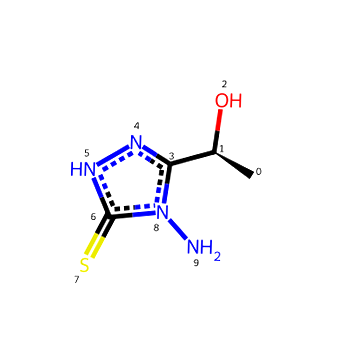 C[C@H](O)c1n[nH]c(=S)n1N